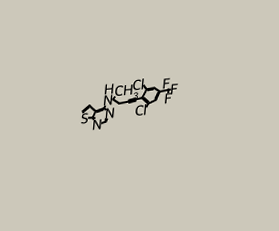 CC(CC#Cc1c(Cl)cc(C(F)(F)F)cc1Cl)Nc1ncnc2sccc12